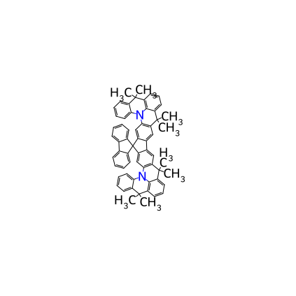 CC1(C)c2ccccc2N2c3cc4c(cc3C(C)(C)c3cccc1c32)-c1cc2c(cc1C41c3ccccc3-c3ccccc31)N1c3ccccc3C(C)(C)c3cccc(c31)C2(C)C